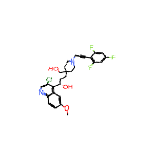 COc1ccc2ncc(Cl)c([C@@H](O)CCC3(CO)CCN(CC#Cc4c(F)cc(F)cc4F)CC3)c2c1